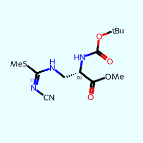 COC(=O)[C@H](CN/C(=N\C#N)SC)NC(=O)OC(C)(C)C